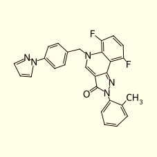 Cc1ccccc1-n1nc2c3c(F)ccc(F)c3n(Cc3ccc(-n4cccn4)cc3)cc-2c1=O